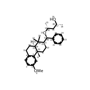 COc1ccc2c(c1)[C@@]1(C)CC[C@H]([C@@H](O[C@H](C)C[C@@H](C)O)c3ccccc3)C(C)(C)[C@@H]1CC2